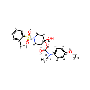 Cc1ccccc1S(=O)(=O)N1CCC(O)(OC(=O)N(C)c2ccc(OC(F)(F)F)cc2)CC1